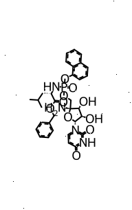 CC(C)C[C@H](NP(=O)(OC[C@@]1(N)O[C@@H](n2ccc(=O)[nH]c2=O)[C@H](O)[C@@H]1O)Oc1cccc2ccccc12)C(=O)OCc1ccccc1